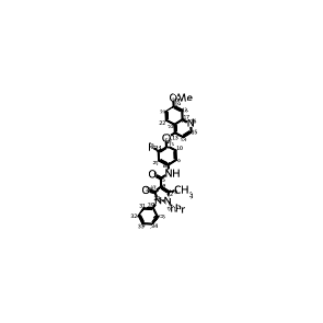 CCCn1c(C)c(C(=O)Nc2ccc(Oc3ccnc4cc(OC)ccc34)c(F)c2)c(=O)n1-c1ccccc1